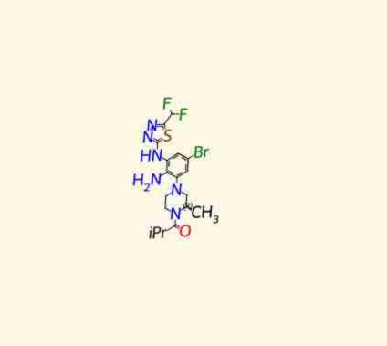 CC(C)C(=O)N1CCN(c2cc(Br)cc(Nc3nnc(C(F)F)s3)c2N)C[C@H]1C